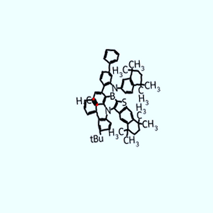 Cc1cc2c3c(c1)N(c1ccc(C(C)(C)C)cc1-c1ccccc1)c1c(sc4cc5c(cc14)C(C)(C)CCC5(C)C)B3N(c1ccc3c(c1)C(C)(C)CCC3(C)C)c1cc(-c3ccccc3)ccc1-2